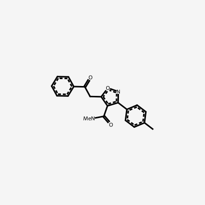 CNC(=O)c1c(-c2ccc(C)cc2)noc1CC(=O)c1ccccc1